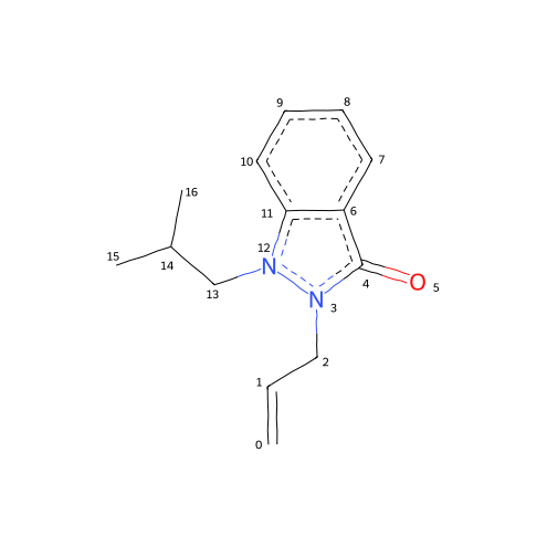 C=CCn1c(=O)c2ccccc2n1CC(C)C